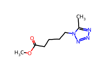 COC(=O)CCCCn1nnnc1C